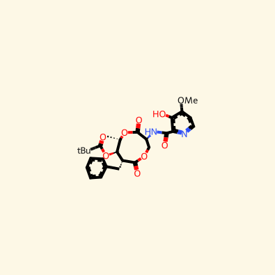 COc1ccnc(C(=O)N[C@H]2COC(=O)[C@H](Cc3ccccc3)[C@@H](OC(=O)C(C)(C)C)[C@H](C)OC2=O)c1O